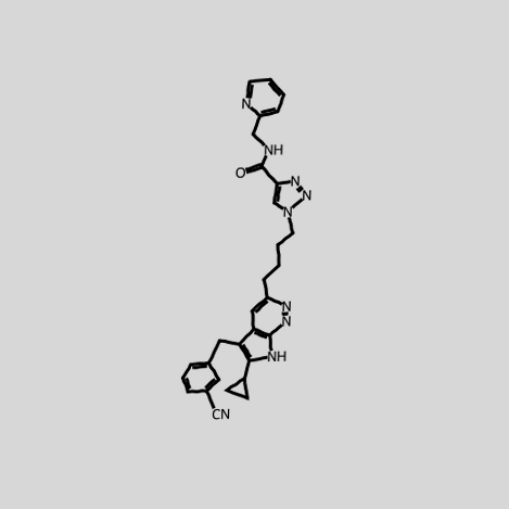 N#Cc1cccc(Cc2c(C3CC3)[nH]c3nnc(CCCCn4cc(C(=O)NCc5ccccn5)nn4)cc23)c1